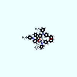 C=C(/C=C\C(=C/C)N(c1ccc(-c2ccccc2)cc1)c1cccc(C)c1)C1(c2ccc(N(c3ccc(-c4ccccc4)cc3)c3cccc(C)c3)cc2)c2ccccc2N(c2ccc(C)cc2)c2ccc(C)cc21